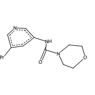 CC(C)c1cncc(NC(=O)N2CCOCC2)c1